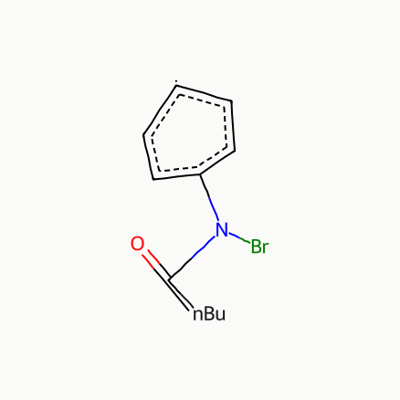 CCCCC(=O)N(Br)c1cc[c]cc1